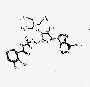 CCN(CC)CC.Nc1ncnc2c1ncn2[C@@H]1O[C@H](COS(=O)(=O)NC(=O)c2cccc(O)c2O)[C@@H](O)[C@H]1O